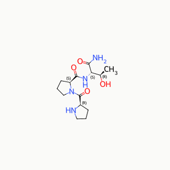 C[C@@H](O)[C@H](NC(=O)[C@@H]1CCCN1C(=O)[C@H]1CCCN1)C(N)=O